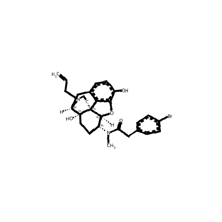 C=CCN1CC[C@]23c4c5ccc(O)c4O[C@H]2[C@H](N(C)C(=O)Cc2ccc(Br)cc2)CC[C@@]3(O)[C@H]1C5